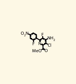 COC(=O)c1nc(-c2ccc([N+](=O)[O-])cc2F)c(F)c(N)c1Cl